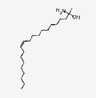 CCCCCCCC/C=C\CCCCCCCCCC(C)(N)O